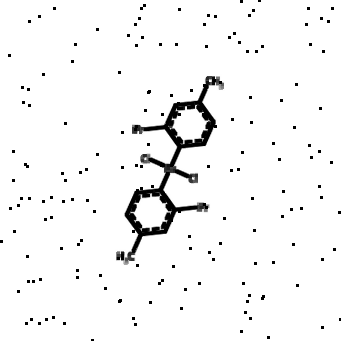 Cc1cc[c]([Ru]([Cl])([Cl])[c]2ccc(C)cc2C(C)C)c(C(C)C)c1